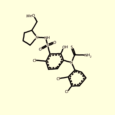 COCC1CCCN1NS(=O)(=O)c1c(Cl)ccc(N(C(N)=S)c2cccc(Cl)c2Cl)c1O